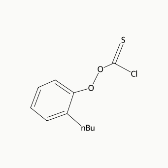 CCCCc1ccccc1OOC(=S)Cl